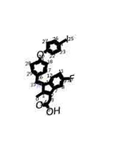 CC1=C(CC(=O)O)c2cc(F)ccc2/C1=C\c1ccc(Oc2ccc(I)cc2)cc1